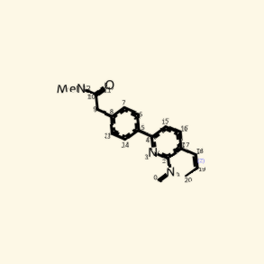 C=Nc1nc(-c2ccc(CC(=O)NC)cc2)ccc1/C=C\C